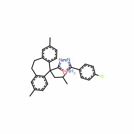 Cc1ccc2c(c1)CCc1cc(C)ccc1C2(CC(C)N)c1nnc(-c2ccc(F)cc2)o1